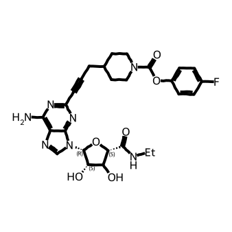 CCNC(=O)[C@H]1O[C@@H](n2cnc3c(N)nc(C#CCC4CCN(C(=O)Oc5ccc(F)cc5)CC4)nc32)[C@@H](O)C1O